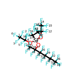 FC(F)(F)C(F)(F)O[Si](OC(F)(F)C(F)(F)F)(OC(F)(C(F)(F)F)C(F)(F)C(F)(F)C(F)(F)C(F)(F)F)C(F)(F)C(F)(F)F